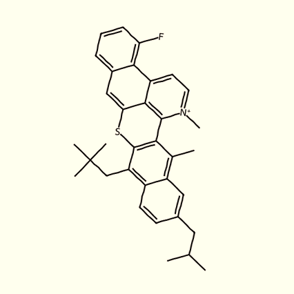 Cc1c2c(c(CC(C)(C)C)c3ccc(CC(C)C)cc13)Sc1cc3cccc(F)c3c3cc[n+](C)c-2c13